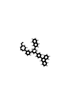 CCC1=CC=CC(c2cccc(-c3cc(-c4ccc(-c5cc6ccccc6c6ccccc56)cc4)nc(-c4ccc5ccccc5c4)n3)c2)=CC1